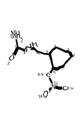 NC(=O)NCC1CCCCC1O[N+](=O)[O-]